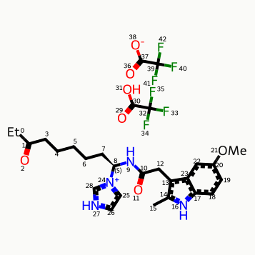 CCC(=O)CCCCC[C@@H](NC(=O)Cc1c(C)[nH]c2ccc(OC)cc12)[n+]1cc[nH]c1.O=C(O)C(F)(F)F.O=C([O-])C(F)(F)F